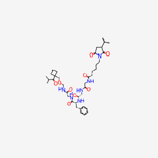 CC(C)C(=O)C1(COCNC(=O)CNC(=O)C(Cc2ccccc2)NC(=O)CNC(=O)CNC(=O)CCCCCN2C(=O)CC(C(C)C)C2=O)CCC1